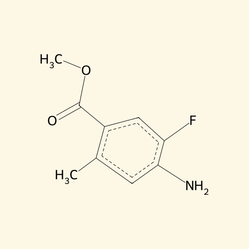 COC(=O)c1cc(F)c(N)cc1C